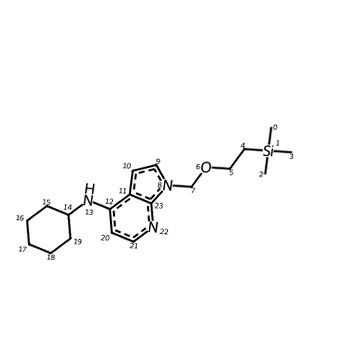 C[Si](C)(C)CCOCn1ccc2c(NC3CCCCC3)ccnc21